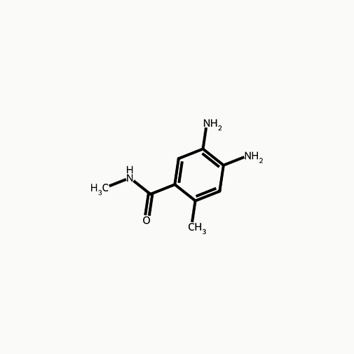 CNC(=O)c1cc(N)c(N)cc1C